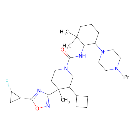 CC(C)N1CCN(C2CCCC(C)(C)C2NC(=O)N2CCC(C)(c3noc([C@@H]4C[C@@H]4F)n3)C(C3CCC3)C2)CC1